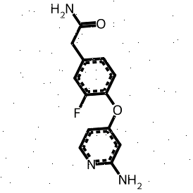 NC(=O)Cc1ccc(Oc2ccnc(N)c2)c(F)c1